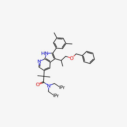 Cc1cc(C)cc(-c2[nH]c3ncc(C(C)(C)C(=O)N(CC(C)C)CC(C)C)cc3c2C(C)COCc2ccccc2)c1